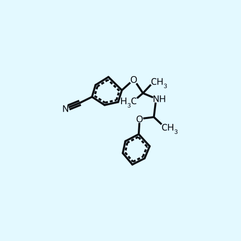 CC(NC(C)(C)Oc1ccc(C#N)cc1)Oc1ccccc1